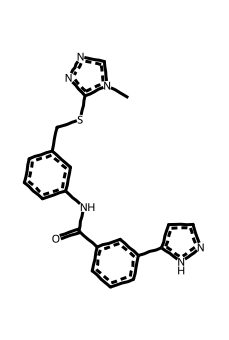 Cn1cnnc1SCc1cccc(NC(=O)c2cccc(-c3ccn[nH]3)c2)c1